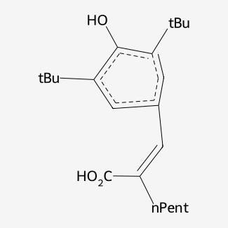 CCCCCC(=Cc1cc(C(C)(C)C)c(O)c(C(C)(C)C)c1)C(=O)O